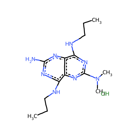 CCCNc1nc(N(C)C)nc2c(NCCC)nc(N)nc12.Cl